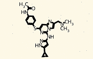 CC(=O)Nc1ccc(Sc2cc3nc(CN(C)C)cn3c(Nc3cc(C4CC4)[nH]n3)n2)cc1